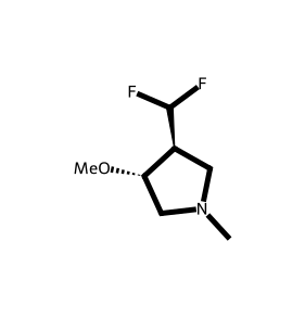 CO[C@H]1CN(C)C[C@@H]1C(F)F